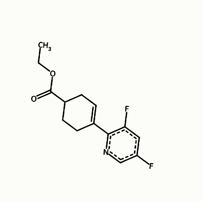 CCOC(=O)C1CC=C(c2ncc(F)cc2F)CC1